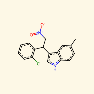 Cc1ccc2[nH]cc(C(C[N+](=O)[O-])c3ccccc3Cl)c2c1